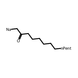 CCCCCCCCCCCC(=O)[CH2][Na]